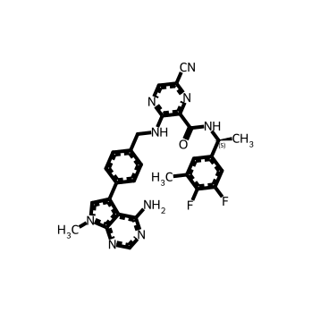 Cc1cc([C@H](C)NC(=O)c2nc(C#N)cnc2NCc2ccc(-c3cn(C)c4ncnc(N)c34)cc2)cc(F)c1F